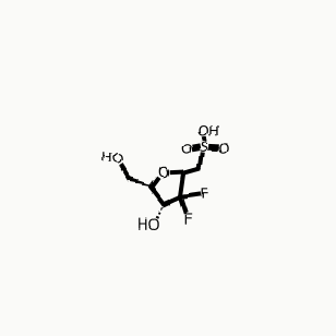 O=S(=O)(O)CC1O[C@H](CO)[C@@H](O)C1(F)F